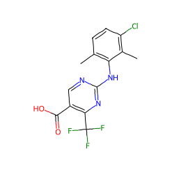 Cc1ccc(Cl)c(C)c1Nc1ncc(C(=O)O)c(C(F)(F)F)n1